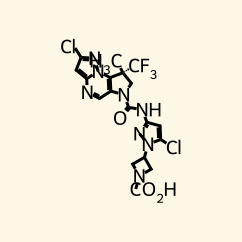 C[C@@]1(C(F)(F)F)CN(C(=O)Nc2cc(Cl)n(C3CN(C(=O)O)C3)n2)c2cnc3cc(Cl)nn3c21